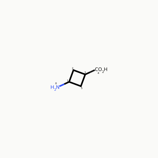 NC1CC(C(=O)O)C1